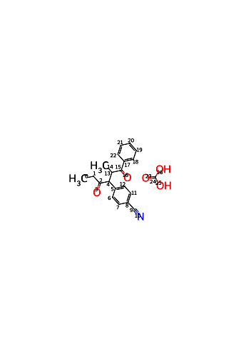 CCC(=O)C(c1ccc(C#N)cc1)C(C)C(=O)c1ccccc1.O=C(O)O